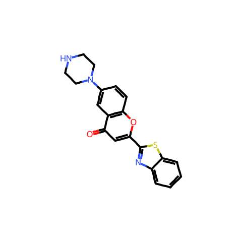 O=c1cc(-c2nc3ccccc3s2)oc2ccc(N3CCNCC3)cc12